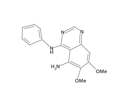 COc1cc2ncnc(Nc3ccccc3)c2c(N)c1OC